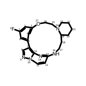 Fc1cc2cc(c1)-c1cnn3ccc(nc13)NCCC1CCCCN1CCO2